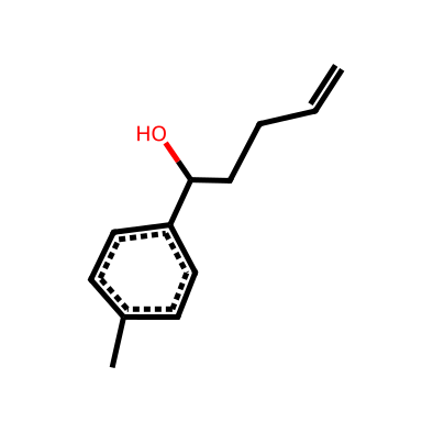 C=CCCC(O)c1ccc(C)cc1